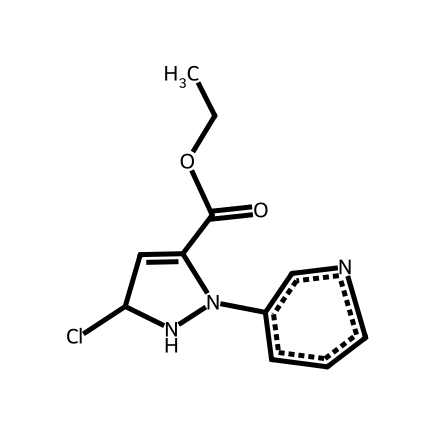 CCOC(=O)C1=CC(Cl)NN1c1cccnc1